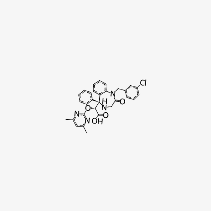 Cc1cc(C)nc(O[C@H](C(=O)O)[C@@]2(c3ccccc3)NCC(=O)N(Cc3cccc(Cl)c3)c3ccccc32)n1